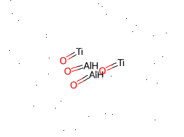 [O]=[AlH].[O]=[AlH].[O]=[Ti].[O]=[Ti]